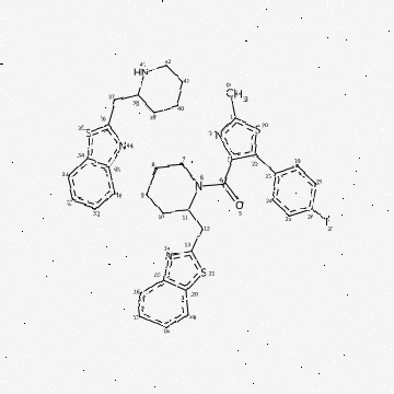 Cc1nc(C(=O)N2CCCCC2Cc2nc3ccccc3s2)c(-c2ccc(F)cc2)s1.c1ccc2sc(CC3CCCCN3)nc2c1